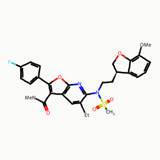 CCc1cc2c(C(=O)NC)c(-c3ccc(F)cc3)oc2nc1N(CC[C@H]1COc2c(OC)cccc21)S(C)(=O)=O